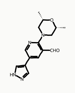 C[C@@H]1CN(c2ncc(-c3cn[nH]c3)cc2C=O)C[C@H](C)O1